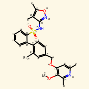 CCOc1c(OCc2ccc(-c3ccccc3S(=O)(=O)Nc3noc(C)c3C)c(CC)c2)cc(C)nc1C